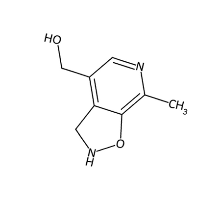 Cc1ncc(CO)c2c1ONC2